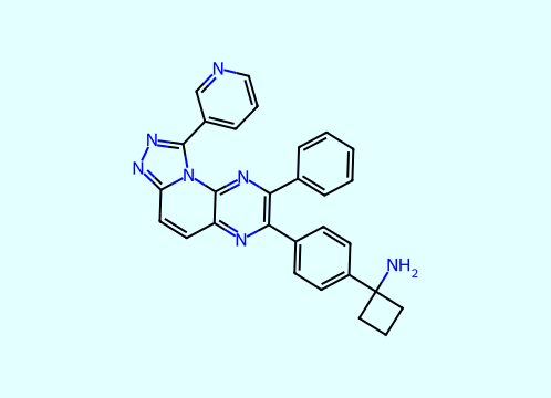 NC1(c2ccc(-c3nc4ccc5nnc(-c6cccnc6)n5c4nc3-c3ccccc3)cc2)CCC1